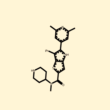 Cc1cc(-c2[nH]c3cc(C(=O)N(C)C4CCNCC4)sc3c2C(C)C)cc(C)n1